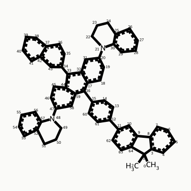 CC1(C)c2ccccc2-c2cc(-c3ccc(-c4c5ccc(N6CCCc7ccccc76)cc5c(-c5ccc6ccccc6c5)c5ccc(N6CCCc7ccccc76)cc45)cc3)ccc21